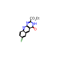 CCOC(=O)c1nc2nc3ccc(F)cc3cc2c(=O)[nH]1